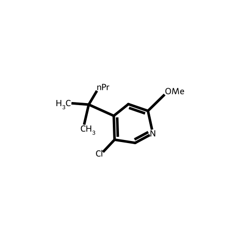 CCCC(C)(C)c1cc(OC)ncc1Cl